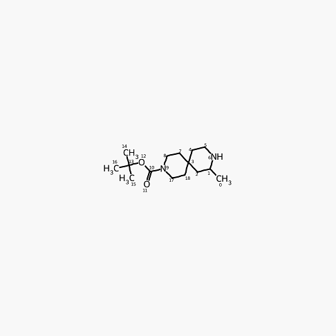 CC1CC2(CCN1)CCN(C(=O)OC(C)(C)C)CC2